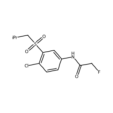 CC(C)CS(=O)(=O)c1cc(NC(=O)CF)ccc1Cl